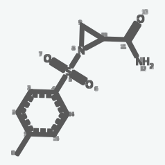 Cc1ccc(S(=O)(=O)N2CC2C(N)=O)cc1